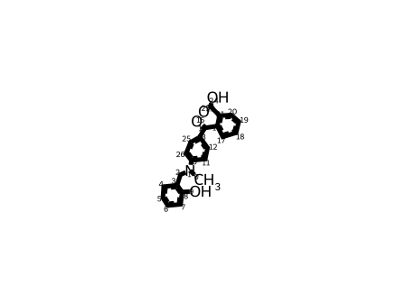 CN(Cc1ccccc1O)c1ccc(C(=O)c2ccccc2C(=O)O)cc1